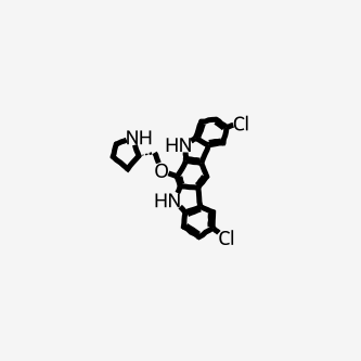 Clc1ccc2[nH]c3c(OC[C@@H]4CCCN4)c4[nH]c5ccc(Cl)cc5c4cc3c2c1